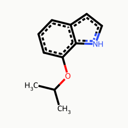 CC(C)Oc1cccc2cc[nH]c12